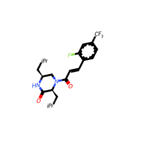 CC(C)C[C@H]1CN(C(=O)/C=C/c2ccc(C(F)(F)F)cc2F)[C@@H](CC(C)C)C(=O)N1